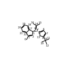 CC1=C[CH]([Zr]([C]2=CC=C(C(C)(C)C)C2)=[C](C)C)c2ccccc21